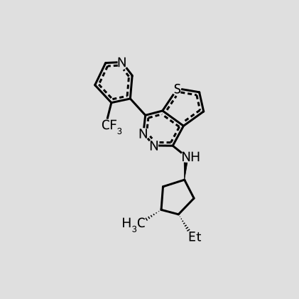 CC[C@H]1C[C@H](Nc2nnc(-c3cnccc3C(F)(F)F)c3sccc23)C[C@H]1C